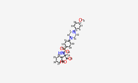 COc1ccc(N2CCN(c3ccc(S(=O)(=O)NC(C)(C(=O)O)c4ccccc4)cc3)CC2)cc1